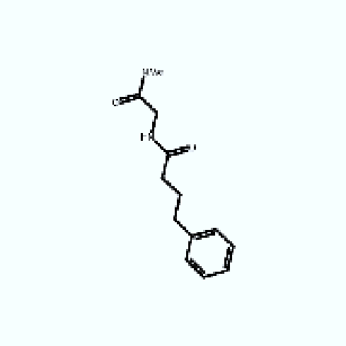 CNC(=O)CNC(=O)CCCc1ccccc1